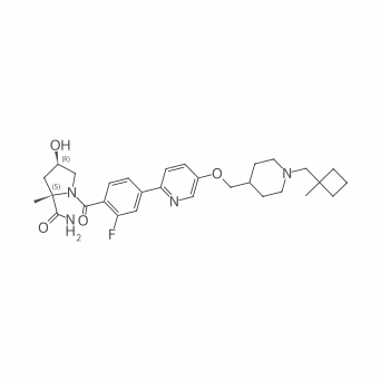 CC1(CN2CCC(COc3ccc(-c4ccc(C(=O)N5C[C@H](O)C[C@@]5(C)C(N)=O)c(F)c4)nc3)CC2)CCC1